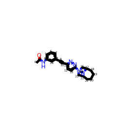 CC(=O)Nc1cccc(C#Cc2ccc(N3CC4CCCCC(C3)N4C)nn2)c1